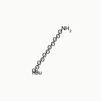 CCCCOCCOCCOCCOCCOCCOCCOCCOCCOCCOCCOCCN